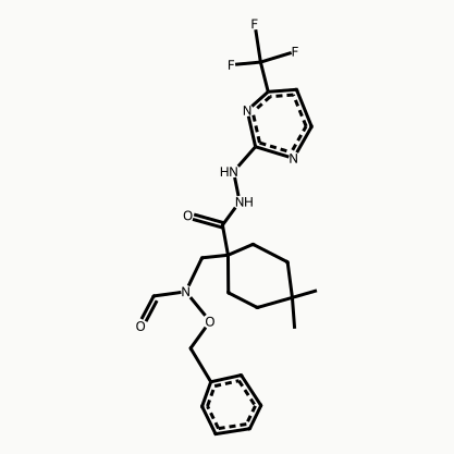 CC1(C)CCC(CN(C=O)OCc2ccccc2)(C(=O)NNc2nccc(C(F)(F)F)n2)CC1